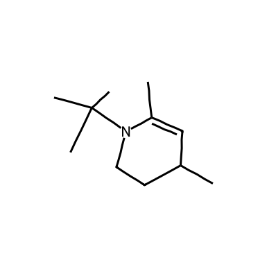 CC1=CC(C)CCN1C(C)(C)C